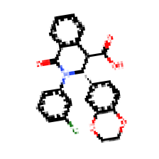 O=C(O)[C@@H]1c2ccccc2C(=O)N(c2cccc(Cl)c2)[C@H]1c1ccc2c(c1)OCCO2